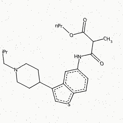 CCCOC(=O)C(C)C(=O)Nc1ccc2scc(C3CCN(CC(C)C)CC3)c2c1